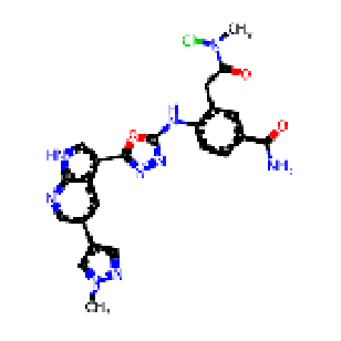 CN(Cl)C(=O)Cc1cc(C(N)=O)ccc1Nc1nnc(-c2c[nH]c3ncc(-c4cnn(C)c4)cc23)o1